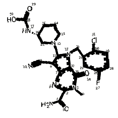 Cn1c(C(N)=O)nc2c(C#N)c(N3CCC[C@@H](NC(=O)O)C3)n(Cc3cc(F)ccc3Cl)c2c1=O